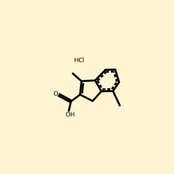 CC1=C(C(=O)O)Cc2c(C)cccc21.Cl